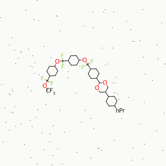 CCCC1CCC(C2COC(C3CCC(C(F)(F)OC4CCC(C(F)(F)OC5CCC(C(F)(F)OC(F)(F)F)CC5)CC4)CC3)OC2)CC1